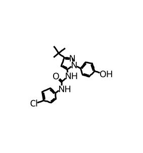 CC(C)(C)c1cc(NC(=O)Nc2ccc(Cl)cc2)n(-c2ccc(O)cc2)n1